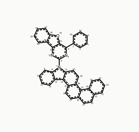 c1ccc(-c2nc(-n3c4ccccc4c4c5ccc6ccc7ccccc7c6c5ccc43)nc3c2oc2ccccc23)cc1